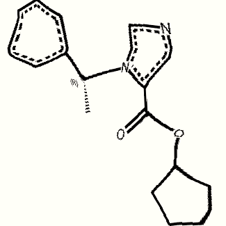 C[C@H](c1ccccc1)n1cncc1C(=O)OC1CCCC1